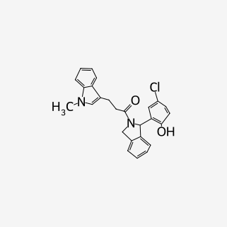 Cn1cc(CCC(=O)N2Cc3ccccc3C2c2cc(Cl)ccc2O)c2ccccc21